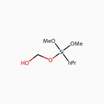 CCC[Si](OC)(OC)OCO